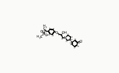 CN(c1ccc(OC[C@H](O)CN2CC[C@@H](c3cccc(Cl)c3)C2)cc1)S(C)(=O)=O